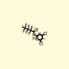 CC(F)(F)C(F)(F)C(F)(F)C(=O)Nc1cc(Cl)cc(Cl)n1